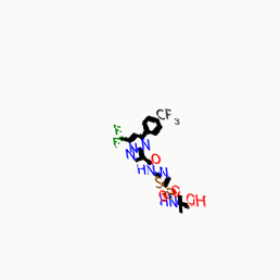 CC(C)(CO)NS(=O)(=O)c1cnc(NC(=O)c2cnn3c(C(F)F)cc(-c4ccc(C(F)(F)F)cc4)nc23)s1